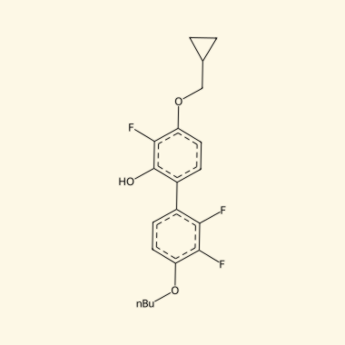 CCCCOc1ccc(-c2ccc(OCC3CC3)c(F)c2O)c(F)c1F